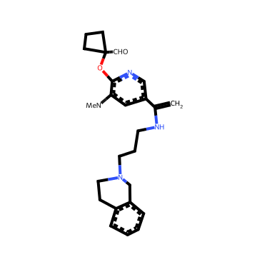 C=C(NCCCN1CCc2ccccc2C1)c1cnc(OC2(C=O)CCC2)c(NC)c1